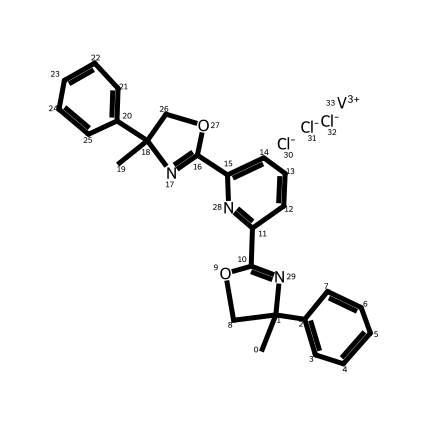 CC1(c2ccccc2)COC(c2cccc(C3=NC(C)(c4ccccc4)CO3)n2)=N1.[Cl-].[Cl-].[Cl-].[V+3]